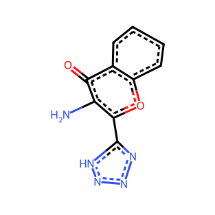 Nc1c(-c2nnn[nH]2)oc2ccccc2c1=O